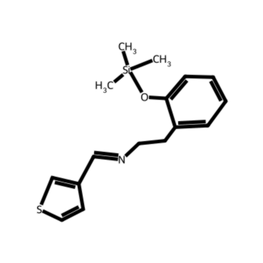 C[Si](C)(C)Oc1ccccc1CCN=Cc1ccsc1